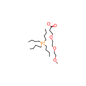 CCCC[P+](CCCC)(CCCC)CCCC.COCCOCCOCCC(=O)[O-]